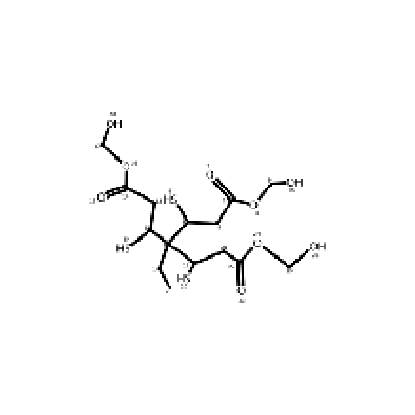 CCC(C(S)CC(=O)OCO)(C(S)CC(=O)OCO)C(S)CC(=O)OCO